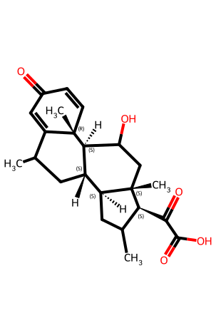 CC1C[C@H]2[C@@H]3CC(C)[C@H](C(=O)C(=O)O)[C@@]3(C)CC(O)[C@@H]2[C@@]2(C)C=CC(=O)C=C12